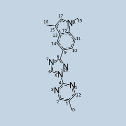 Cc1cnc(-n2cnc(-c3ccc4c(c3)c(C)cn4C)n2)nc1